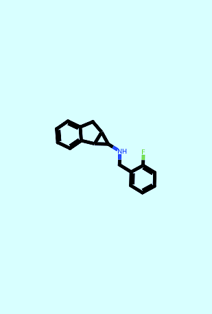 Fc1ccccc1CNC1C2Cc3ccccc3C21